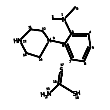 CN(C)c1ccccc1N1CCNCC1.NC(=S)S